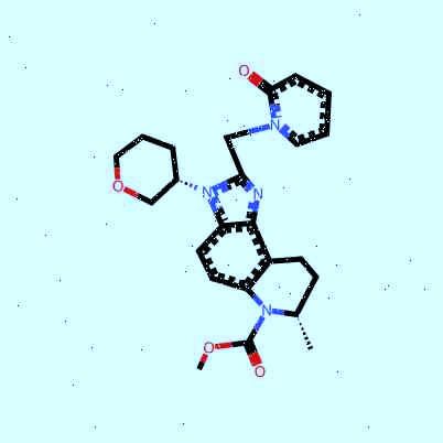 COC(=O)N1c2ccc3c(nc(Cn4ccccc4=O)n3[C@H]3CCCOC3)c2CC[C@@H]1C